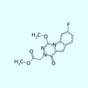 COC(=O)Cn1nc(OC)n2c(cc3ccc(F)cc32)c1=O